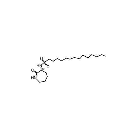 CCCCCCCCCCCCCCS(=O)(=O)N[C@H]1CCCCNC1=O